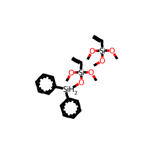 C=C[Si](OC)(OC)OC.C=C[Si](OC)(OC)OC.c1ccc([SiH2]c2ccccc2)cc1